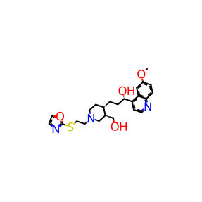 COc1ccc2nccc([C@@H](O)CC[C@@H]3CCN(CCSc4ncco4)C[C@@H]3CO)c2c1